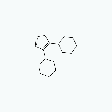 C1=CC(C2CCCCC2)=C(C2CCCCC2)C1